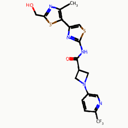 Cc1nc(CO)sc1-c1csc(NC(=O)C2CN(c3ccc(C(F)(F)F)nc3)C2)n1